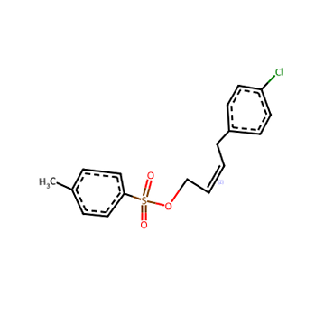 Cc1ccc(S(=O)(=O)OC/C=C\Cc2ccc(Cl)cc2)cc1